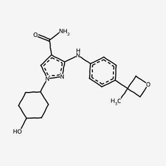 CC1(c2ccc(Nc3nn(C4CCC(O)CC4)cc3C(N)=O)cc2)COC1